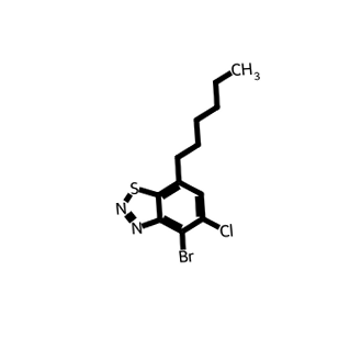 CCCCCCc1cc(Cl)c(Br)c2nnsc12